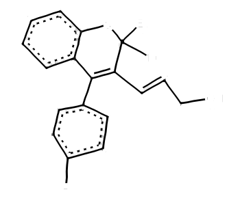 CCC1(CC)Sc2ccccc2C(c2ccc(F)cc2)=C1C=CCO